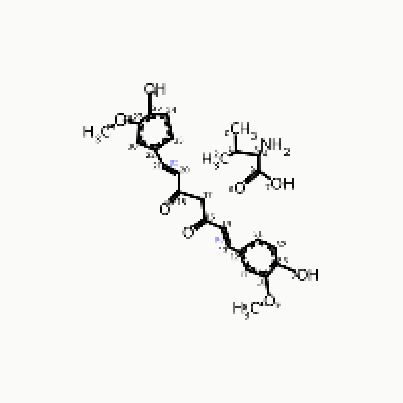 CC(C)C(N)C(=O)O.COc1cc(/C=C/C(=O)CC(=O)/C=C/c2ccc(O)c(OC)c2)ccc1O